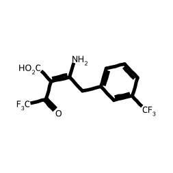 NC(Cc1cccc(C(F)(F)F)c1)=C(C(=O)O)C(=O)C(F)(F)F